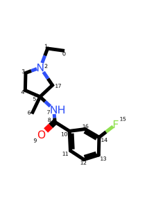 CCN1CCC(C)(NC(=O)c2cccc(F)c2)C1